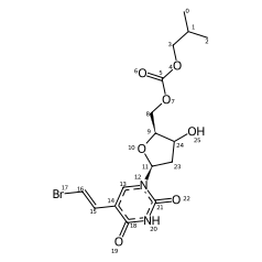 CC(C)COC(=O)OC[C@@H]1O[C@H](n2cc(C=CBr)c(=O)[nH]c2=O)CC1O